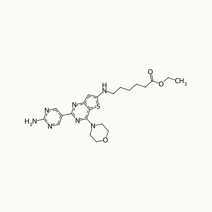 CCOC(=O)CCCCCNc1cc2nc(-c3cnc(N)nc3)nc(N3CCOCC3)c2s1